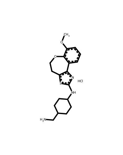 COc1cccc2c1OCCc1sc(NC3CCC(CN)CC3)nc1-2.Cl